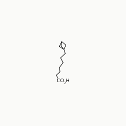 O=C(O)CCCCCCC12CC(C1)C2